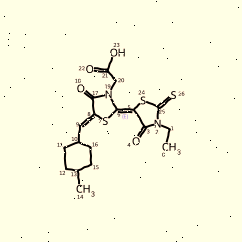 CCN1C(=O)/C(=c2\sc(=CC3CCC(C)CC3)c(=O)n2CC(=O)O)SC1=S